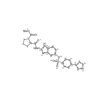 COC(=O)C1CCCN1C(=O)Nc1nc2cc(OS(=O)(=O)c3ccc(-n4ccnc4)cc3)ccc2[nH]1